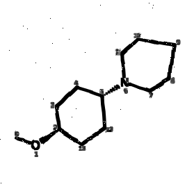 CO[C@H]1CC[C@H](N2CCCCC2)CC1